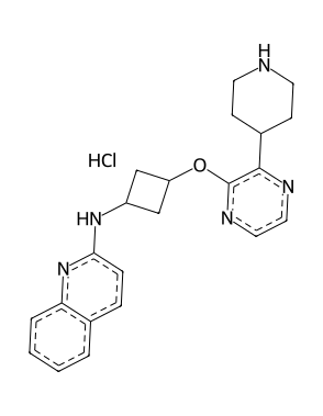 Cl.c1ccc2nc(NC3CC(Oc4nccnc4C4CCNCC4)C3)ccc2c1